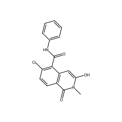 Cn1c(O)cc2c(C(=O)Nc3ccccc3)c(Cl)ccc2c1=O